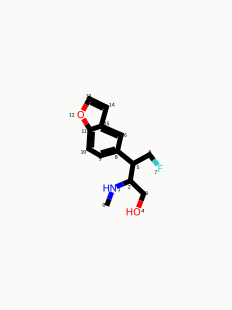 CNC(CO)C(CF)c1ccc2occc2c1